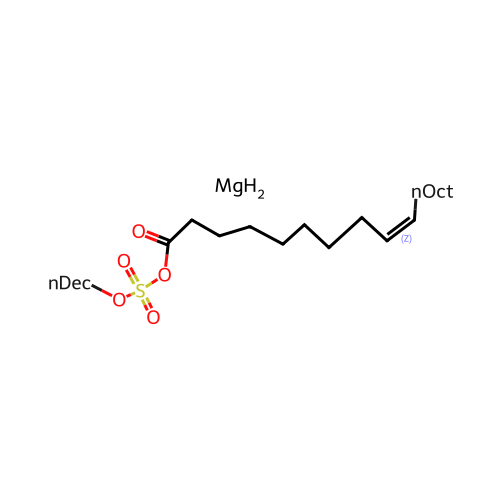 CCCCCCCC/C=C\CCCCCCCC(=O)OS(=O)(=O)OCCCCCCCCCC.[MgH2]